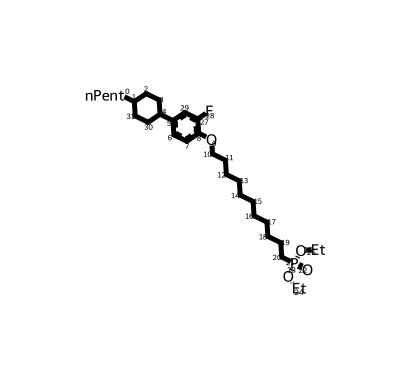 CCCCCC1CCC(c2ccc(OCCCCCCCCCCCP(=O)(OCC)OCC)c(F)c2)CC1